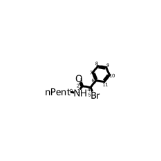 CCCCCNC(=O)C(Br)c1ccccc1